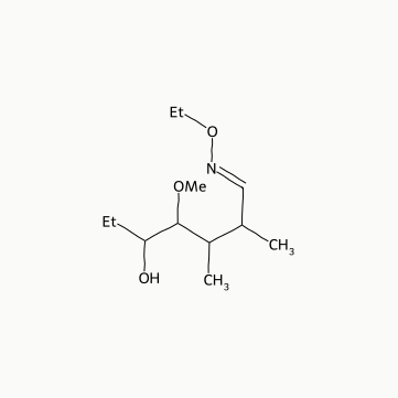 CCON=CC(C)C(C)C(OC)C(O)CC